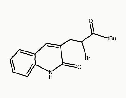 CC(C)(C)C(=O)C(Br)Cc1cc2ccccc2[nH]c1=O